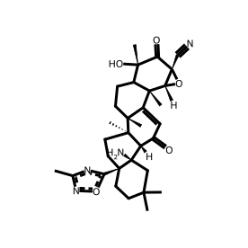 Cc1noc([C@]23CCC(C)(C)C[C@@]2(N)[C@H]2C(=O)C=C4[C@]5(C)C(CC[C@@]4(C)[C@]2(C)CC3)[C@](C)(O)C(=O)[C@]2(C#N)O[C@@H]25)n1